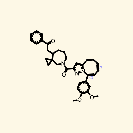 COc1ccc(/C2=C/C=C\CCc3cc(C(=O)N4CCCC(CC(=O)c5ccccc5)C5(CC5)C4)nn32)cc1OC